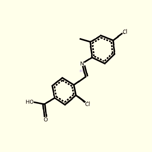 Cc1cc(Cl)ccc1/N=C/c1ccc(C(=O)O)cc1Cl